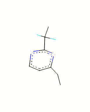 CCc1ccnc(C(C)(F)F)n1